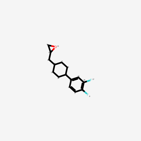 Fc1ccc(C2CCC(CC3CO3)CC2)cc1F